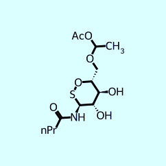 CCCC(=O)N[C@H]1SO[C@H](COC(C)OC(C)=O)[C@@H](O)[C@@H]1O